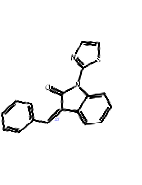 O=C1/C(=C\c2ccccc2)c2ccccc2N1c1nccs1